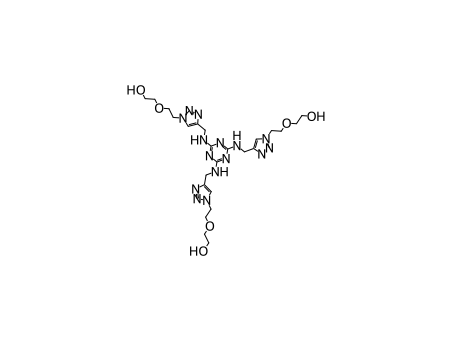 OCCOCCn1cc(CNc2nc(NCc3cn(CCOCCO)nn3)nc(NCc3cn(CCOCCO)nn3)n2)nn1